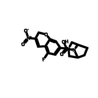 O=C(O)N1C2CCC1CN(c1cc(F)c3c(c1)OCC([N+](=O)[O-])=C3)C2